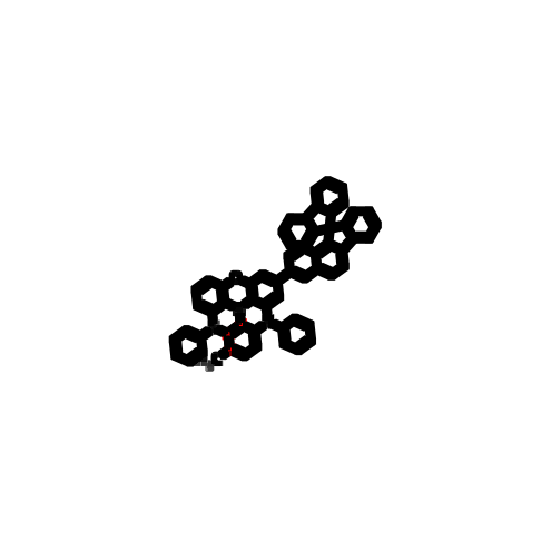 CCCC[Si]12c3c4cccc3N(c3ccccc3)c3cccc(c31)N(c1ccccc1)c1cc(-c3ccc5c6c(ccc5c3)-c3ccccc3C63c5ccccc5-c5ccccc53)cc(c12)O4